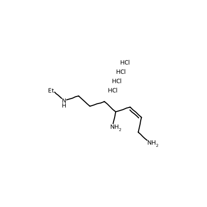 CCNCCCC(N)/C=C\CN.Cl.Cl.Cl.Cl